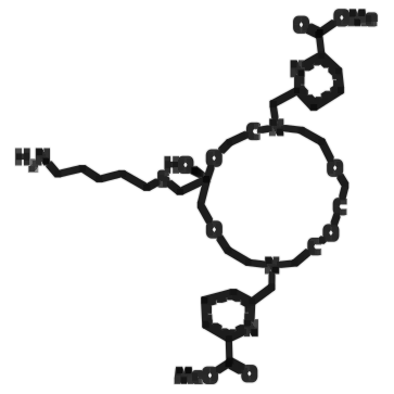 COC(=O)c1cccc(CN2CCOCCOCCN(Cc3cccc(C(=O)OC)n3)CCO[C@@](O)(CSCCCCCN)COCC2)n1